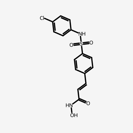 O=C(C=Cc1ccc(S(=O)(=O)Nc2ccc(Cl)cc2)cc1)NO